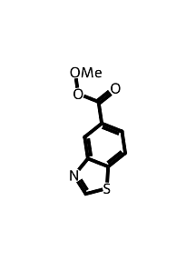 COOC(=O)c1ccc2scnc2c1